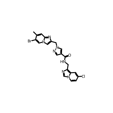 Cc1cc2nc(Cn3cc(C(=O)NCc4ncn5ccc(Cl)cc45)cn3)cn2cc1Br